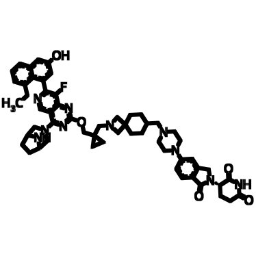 CCc1cccc2cc(O)cc(-c3ncc4c(N5CC6CCC(C5)N6)nc(OCC5(CN6CC7(CCC(CN8CCN(c9ccc%10c(c9)CN([C@H]9CCC(=O)NC9=O)C%10=O)CC8)CC7)C6)CC5)nc4c3F)c12